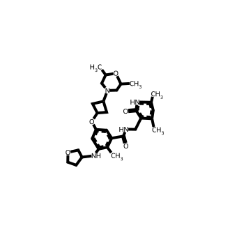 Cc1cc(C)c(CNC(=O)c2cc(OC3CC(N4CC(C)OC(C)C4)C3)cc(NC3CCOC3)c2C)c(=O)[nH]1